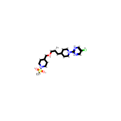 CCS(=O)(=O)N1CCC(COC[C@H](C)CC2CCN(c3ncc(Cl)cn3)CC2)CC1